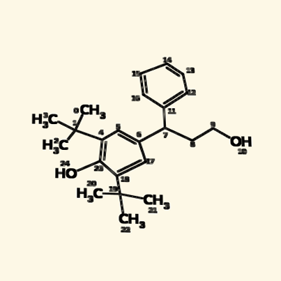 CC(C)(C)c1cc(C(CCO)c2ccccc2)cc(C(C)(C)C)c1O